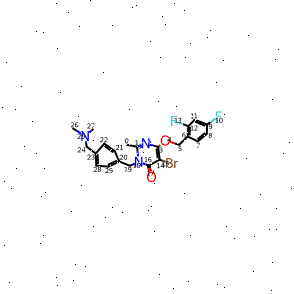 Cc1nc(OCc2ccc(F)cc2F)c(Br)c(=O)n1Cc1ccc(CN(C)C)cc1